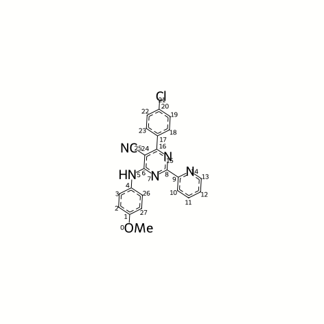 COc1ccc(Nc2nc(-c3ccccn3)nc(-c3ccc(Cl)cc3)c2C#N)cc1